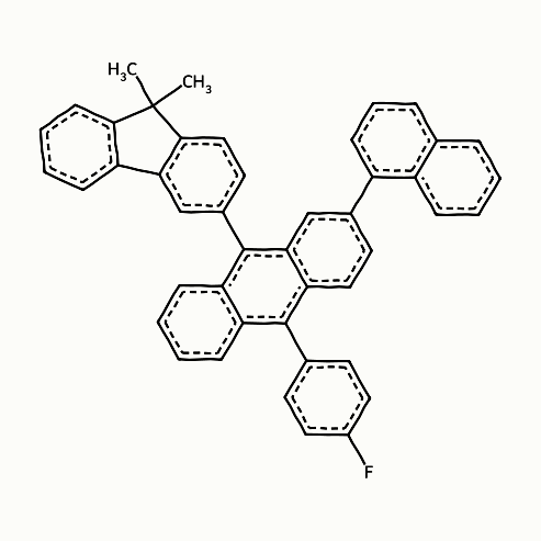 CC1(C)c2ccccc2-c2cc(-c3c4ccccc4c(-c4ccc(F)cc4)c4ccc(-c5cccc6ccccc56)cc34)ccc21